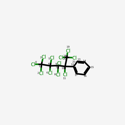 ClC(Cl)(Cl)C(Cl)(Cl)C(Cl)(Cl)C(Cl)(c1[c]cccc1)C(Cl)(Cl)Cl